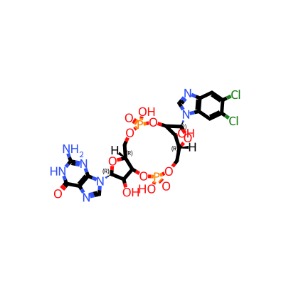 Nc1nc2c(ncn2[C@@H]2O[C@@H]3COP(=O)(O)OC4C(O)[C@@H](COP(=O)(O)OC3C2O)O[C@H]4n2cnc3cc(Cl)c(Cl)cc32)c(=O)[nH]1